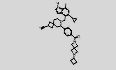 Cc1cc(C2CC2)c(CN2CCC3(CC(C#N)C3)CC2c2ccc(C(=O)N3CC4(C3)CN(C3CCC3)C4)cc2)c2cc[nH]c12